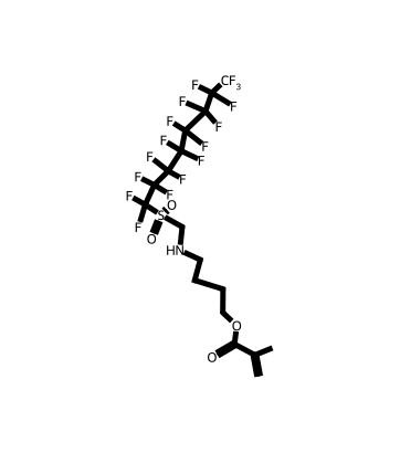 C=C(C)C(=O)OCCCCNCS(=O)(=O)C(F)(F)C(F)(F)C(F)(F)C(F)(F)C(F)(F)C(F)(F)C(F)(F)C(F)(F)F